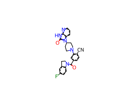 N#Cc1ccc(C(=O)N2CCc3cc(F)ccc32)cc1N1CCC(n2c(=O)[nH]c3ncccc32)CC1